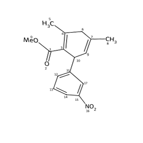 COC(=O)C1=C(C)CC(C)=[C]C1c1cccc([N+](=O)[O-])c1